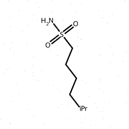 CC(C)CCCCS(N)(=O)=O